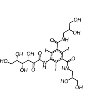 O=C(Nc1c(I)c(C(=O)NCC(O)CO)c(I)c(C(=O)NCC(O)CO)c1I)C(=O)[C@@H](O)[C@H](O)[C@@H](O)CO